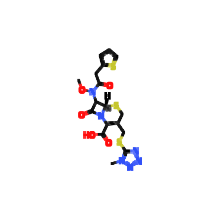 CON(C(=O)Cc1cccs1)C1C(=O)N2C(C(=O)O)=C(CSc3nnnn3C)CS[C@@H]12